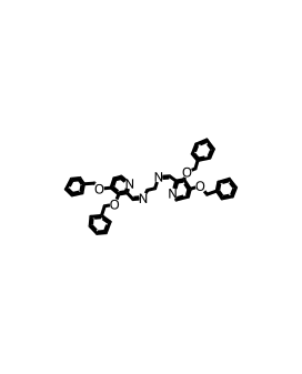 C(=N/CC/N=C\c1nccc(OCc2ccccc2)c1OCc1ccccc1)/c1nccc(OCc2ccccc2)c1OCc1ccccc1